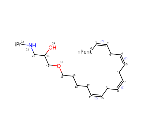 CCCCC/C=C\C/C=C\C/C=C\C/C=C\CCCCOCC(O)CNC(C)C